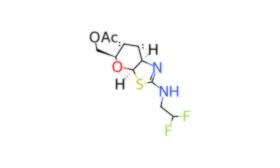 CC(=O)OC[C@H]1[C][C][C@H]2N=C(NCC(F)F)S[C@H]2O1